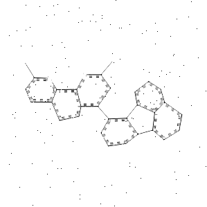 Cc1ccc2ccc3c(-c4cccc5c4-c4cccc6cccc-5c46)cc(C)nc3c2n1